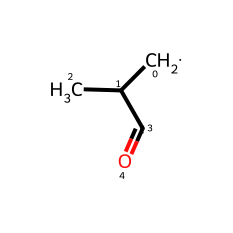 [CH2]C(C)[C]=O